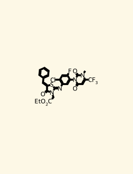 CCOC(=O)CN1C(=O)/C(=C/c2ccccc2)S/C1=N\c1cc(-n2c(=O)cc(C(F)(F)F)n(C)c2=O)c(F)cc1Cl